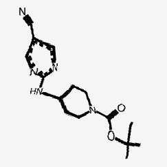 CC(C)(C)OC(=O)N1CCC(Nc2ncc(C#N)cn2)CC1